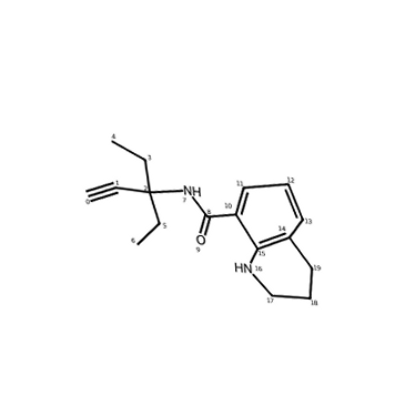 C#CC(CC)(CC)NC(=O)c1cccc2c1NCCC2